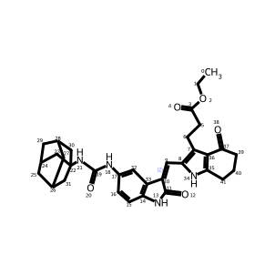 CCOC(=O)CCc1c(/C=C2\C(=O)Nc3ccc(NC(=O)NC45CC6CC(CC(C6)C4)C5)cc32)[nH]c2c1C(=O)CCC2